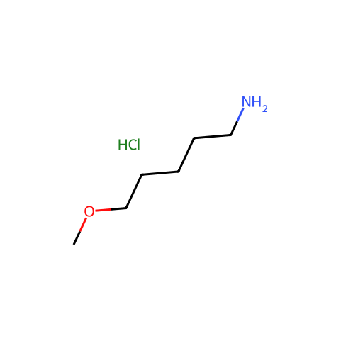 COCCCCCN.Cl